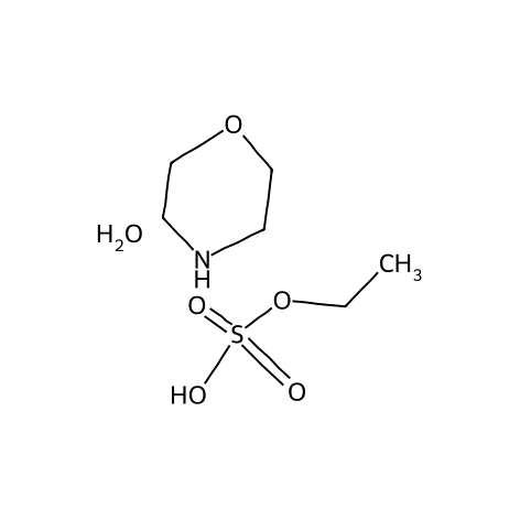 C1COCCN1.CCOS(=O)(=O)O.O